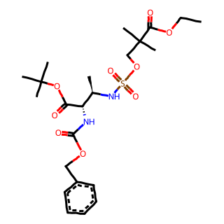 CCOC(=O)C(C)(C)COS(=O)(=O)N[C@H](C)[C@H](NC(=O)OCc1ccccc1)C(=O)OC(C)(C)C